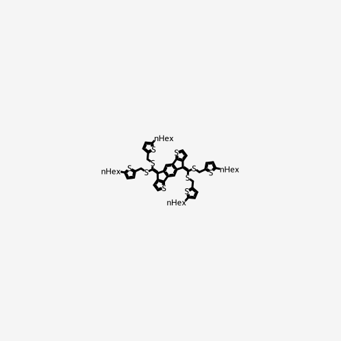 CCCCCCc1ccc(CSC(SCc2ccc(CCCCCC)s2)=C2c3cc4c(cc3-c3sccc32)C(=C(SCc2ccc(CCCCCC)s2)SCc2ccc(CCCCCC)s2)c2ccsc2-4)s1